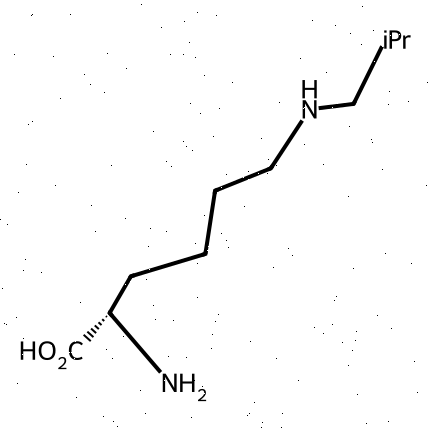 CC(C)CNCCCC[C@H](N)C(=O)O